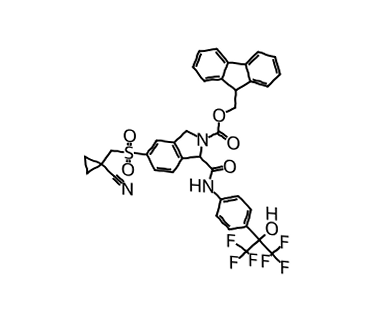 N#CC1(CS(=O)(=O)c2ccc3c(c2)CN(C(=O)OCC2c4ccccc4-c4ccccc42)C3C(=O)Nc2ccc(C(O)(C(F)(F)F)C(F)(F)F)cc2)CC1